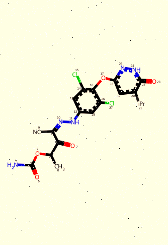 CC(OC(N)=O)C(=O)C(C#N)=NNc1cc(Cl)c(Oc2cc(C(C)C)c(=O)[nH]n2)c(Cl)c1